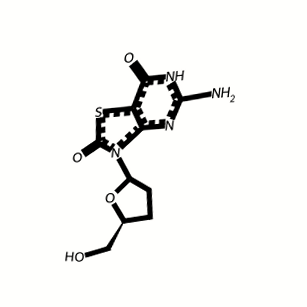 Nc1nc2c(sc(=O)n2C2CC[C@@H](CO)O2)c(=O)[nH]1